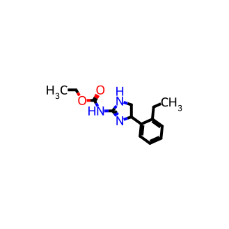 CCOC(=O)NC1=NC(c2ccccc2CC)CN1